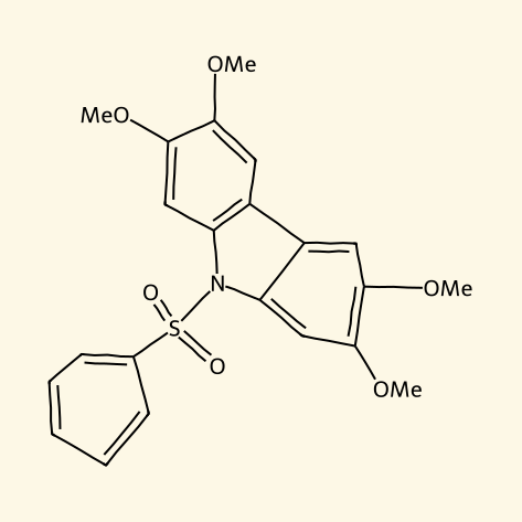 COc1cc2c3cc(OC)c(OC)cc3n(S(=O)(=O)c3ccccc3)c2cc1OC